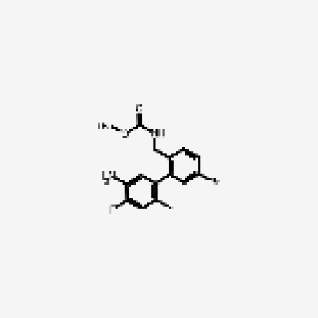 CC(C)(C)OC(=O)NCc1ccc(Br)cc1-c1cc(N)c(F)cc1F